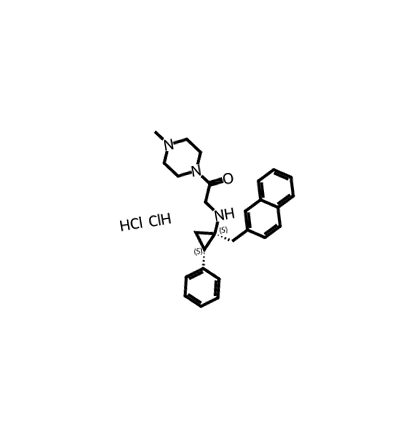 CN1CCN(C(=O)CN[C@]2(Cc3ccc4ccccc4c3)C[C@H]2c2ccccc2)CC1.Cl.Cl